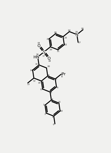 Cc1ccc(-c2cc(C(C)C)c3c(c2)C(C)C=C(NS(=O)(=O)c2ccc(CN(C)C)cc2)C3)cc1